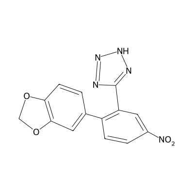 O=[N+]([O-])c1ccc(-c2ccc3c(c2)OCO3)c(-c2nn[nH]n2)c1